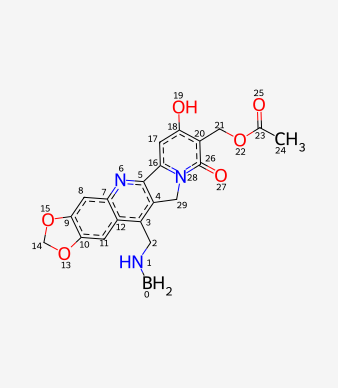 BNCc1c2c(nc3cc4c(cc13)OCO4)-c1cc(O)c(COC(C)=O)c(=O)n1C2